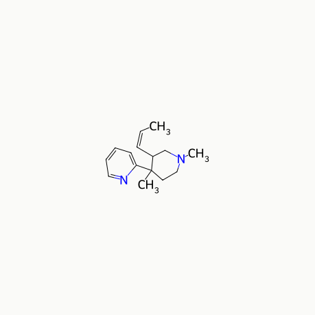 C/C=C\C1CN(C)CCC1(C)c1ccccn1